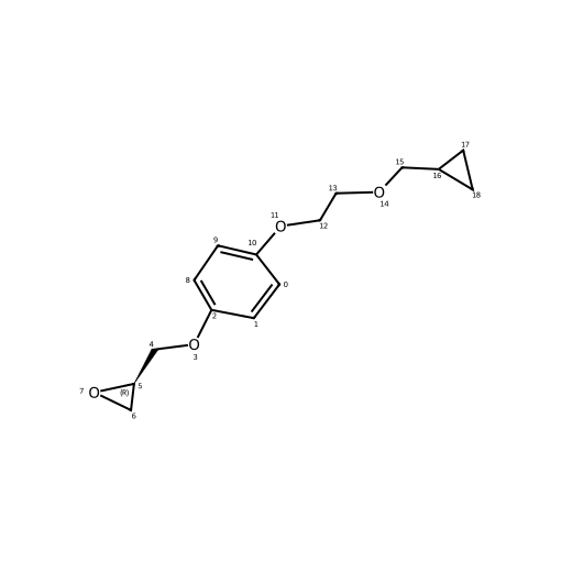 c1cc(OC[C@H]2CO2)ccc1OCCOCC1CC1